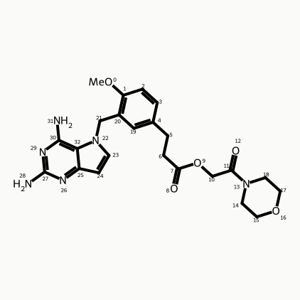 COc1ccc(CCC(=O)OCC(=O)N2CCOCC2)cc1Cn1ccc2nc(N)nc(N)c21